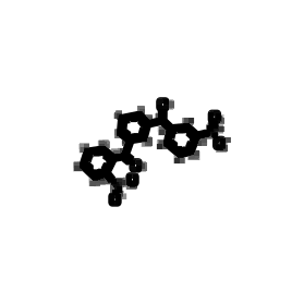 O=C(c1cccc(C(=O)c2ccccc2[N+](=O)[O-])c1)c1cccc([N+](=O)[O-])c1